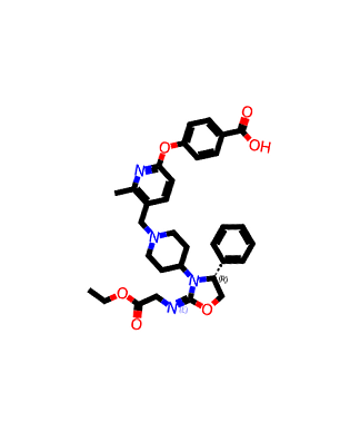 CCOC(=O)C/N=C1/OC[C@@H](c2ccccc2)N1C1CCN(Cc2ccc(Oc3ccc(C(=O)O)cc3)nc2C)CC1